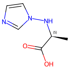 C[C@H](Nn1ccnc1)C(=O)O